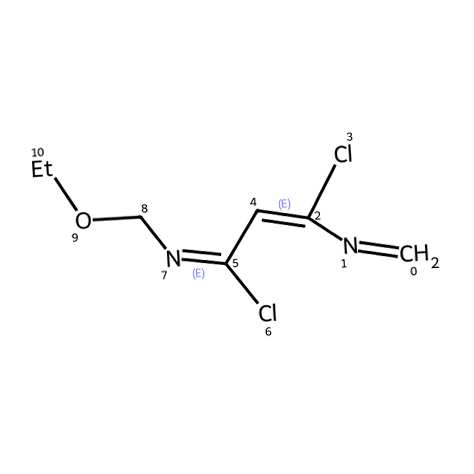 C=N/C(Cl)=C\C(Cl)=N/COCC